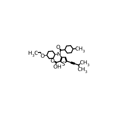 CCO[C@H]1CC[C@@H](N(C(=O)C2CCC(C)CC2)c2cc(C#CC(C)C)sc2C(=O)O)CC1